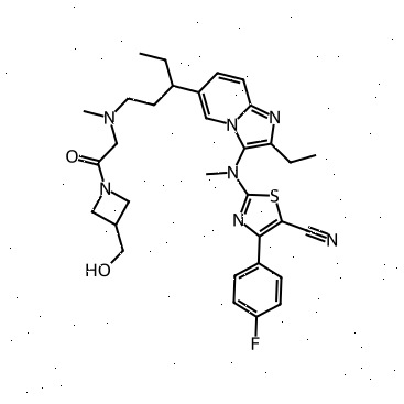 CCc1nc2ccc(C(CC)CCN(C)CC(=O)N3CC(CO)C3)cn2c1N(C)c1nc(-c2ccc(F)cc2)c(C#N)s1